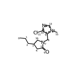 CCCC1CC(=O)N(Cc2c(Cl)ncn2C)C1